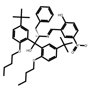 CCCCOc1ccc(C(C)(C)C)cc1C(O)(c1cc(C(C)(C)C)ccc1OCCCC)[C@H](Cc1ccccc1)N=Cc1cc([N+](=O)[O-])ccc1O